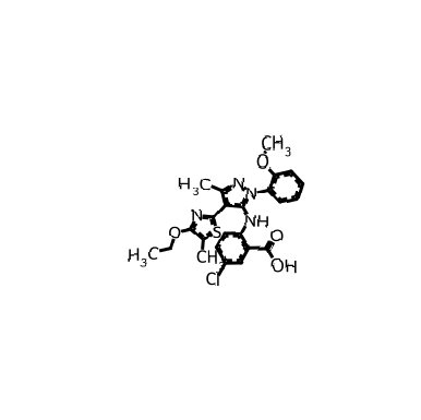 CCOc1nc(-c2c(C)nn(-c3ccccc3OC)c2Nc2ccc(Cl)cc2C(=O)O)sc1C